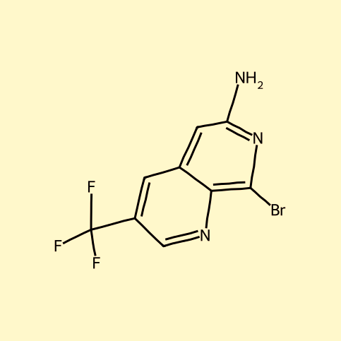 Nc1cc2cc(C(F)(F)F)cnc2c(Br)n1